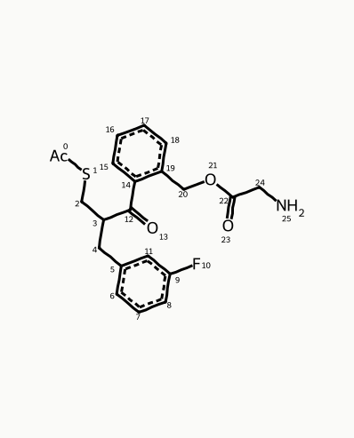 CC(=O)SCC(Cc1cccc(F)c1)C(=O)c1ccccc1COC(=O)CN